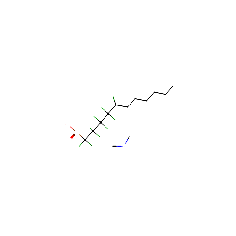 CCCCCCC(F)C(F)(F)C(F)(F)C(F)(F)C(F)(F)S(=O)(=O)O.CNC